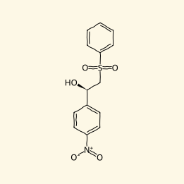 O=[N+]([O-])c1ccc([C@@H](O)CS(=O)(=O)c2ccccc2)cc1